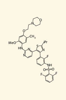 COc1cc(OCCN2CCOCC2)c(C)cc1Nc1nccc(-c2sc(C(C)C)nc2-c2cccc(NS(=O)(=O)c3c(F)cccc3F)c2F)n1